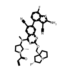 C=CC(=O)N1CCC(N(C)c2nc(OC[C@@]34CCCN3C[C@H](F)C4)nc3cc(-c4ccc(F)c5sc(N)c(C#N)c45)c(C#N)cc23)[C@@H]1C